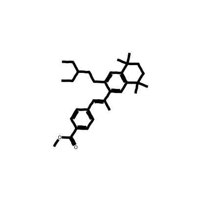 CCC(CC)CCc1cc2c(cc1C(C)=Cc1ccc(C(=O)OC)cc1)C(C)(C)CCC2(C)C